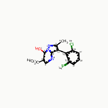 Cc1nn2c(O)c(C(=O)O)cnc2c1-c1c(F)cccc1Cl